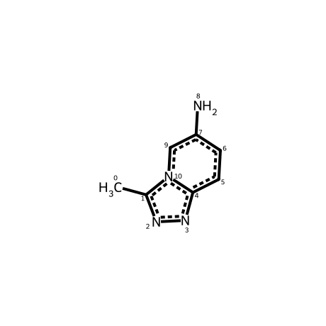 Cc1nnc2ccc(N)cn12